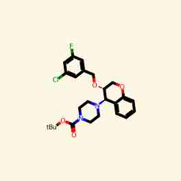 CC(C)(C)OC(=O)N1CCN([C@@H]2c3ccccc3OC[C@H]2OCc2cc(F)cc(Cl)c2)CC1